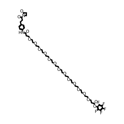 O=C(CCOCCOCCOCCOCCOCCOCCOCCOCCOCCOCCOCCOCCOCCC(=O)Oc1c(F)c(F)c(F)c(F)c1F)Nc1ccc(CCC(=O)N2CCC2=O)cc1